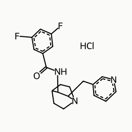 Cl.O=C(NC1C2CCN(CC2)C1Cc1cccnc1)c1cc(F)cc(F)c1